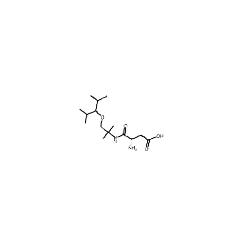 CC(C)C(OCC(C)(C)NC(=O)[C@@H](N)CC(=O)O)C(C)C